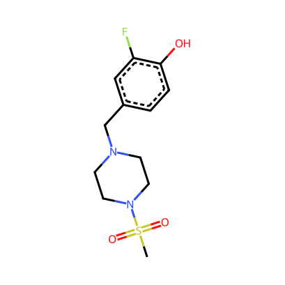 CS(=O)(=O)N1CCN(Cc2ccc(O)c(F)c2)CC1